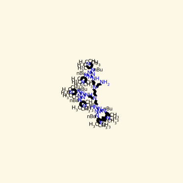 CCCCN(c1nc(NCCCN(CCCN)CCCCN(CCCNc2nc(N(CCCC)C3CC(C)(C)N(C)C(C)(C)C3)nc(N(CCCC)C3CC(C)(C)N(C)C(C)(C)C3)n2)CCCNc2nc3nc(n2)N(CCCC)C2CC(C)(C)N(C)C4(C2)CC2(CC(CC(C)(C)N2C)N3CCCC)C4)nc(N(CCCC)C2CC(C)(C)N(C)C(C)(C)C2)n1)C1CC(C)(C)N(C)C(C)(C)C1